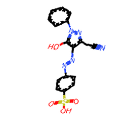 N#Cc1nn(-c2ccccc2)c(O)c1N=Nc1ccc(S(=O)(=O)O)cc1